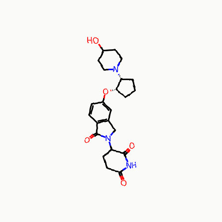 O=C1CCC(N2Cc3cc(O[C@H]4CCC[C@H]4N4CCC(O)CC4)ccc3C2=O)C(=O)N1